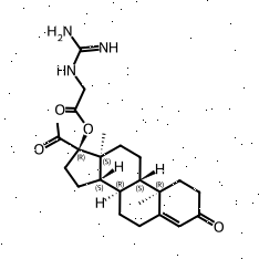 CC(=O)[C@@]1(OC(=O)CNC(=N)N)CC[C@H]2[C@@H]3CCC4=CC(=O)CC[C@]4(C)[C@H]3CC[C@@]21C